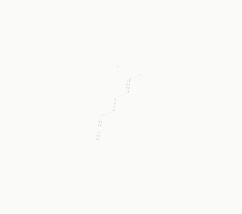 CCC(=CCCN=C=O)C(=O)O